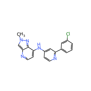 Cn1cc2nccc(Nc3ccnc(-c4cccc(Cl)c4)c3)c2n1